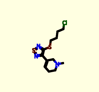 CN1CCC=C(c2nsnc2SCCCCCl)C1